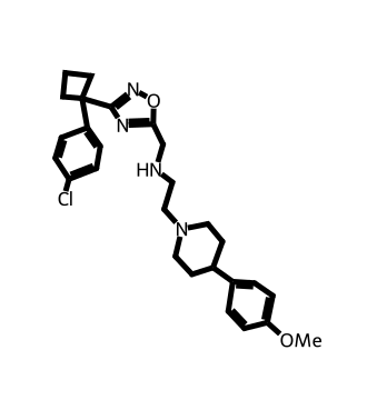 COc1ccc(C2CCN(CCNCc3nc(C4(c5ccc(Cl)cc5)CCC4)no3)CC2)cc1